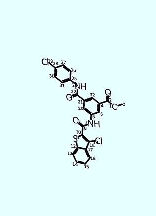 COC(=O)c1cc(NC(=O)c2sc3ccccc3c2Cl)cc(C(=O)Nc2ccc(Cl)cc2)c1